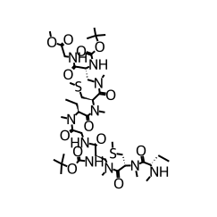 CC[C@H](NC)C(=O)N(C)[C@@H](CSC)C(=O)N(C)C[C@@H](NC(=O)OC(C)(C)C)C(=O)NCC(=O)N(C)[C@@H](CC)C(=O)N(C)[C@@H](CSC)C(=O)N(C)C[C@@H](NC(=O)OC(C)(C)C)C(=O)NCC(=O)OC